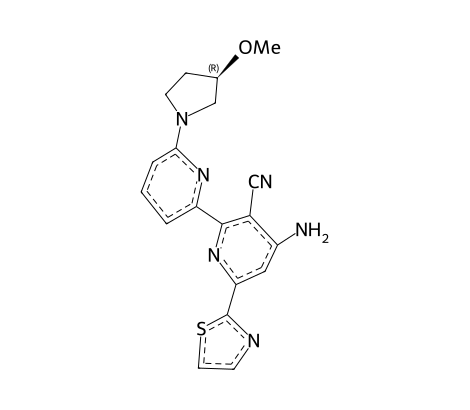 CO[C@@H]1CCN(c2cccc(-c3nc(-c4nccs4)cc(N)c3C#N)n2)C1